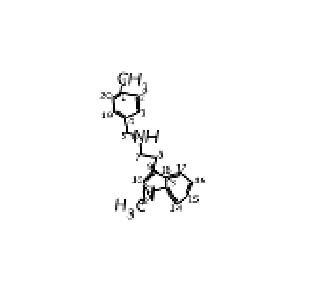 Cc1ccc(CNCCc2cn(C)c3ccccc23)cc1